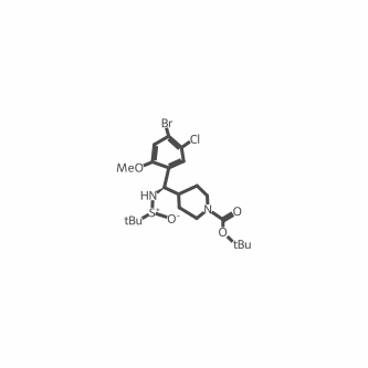 COc1cc(Br)c(Cl)cc1[C@H](N[S+]([O-])C(C)(C)C)C1CCN(C(=O)OC(C)(C)C)CC1